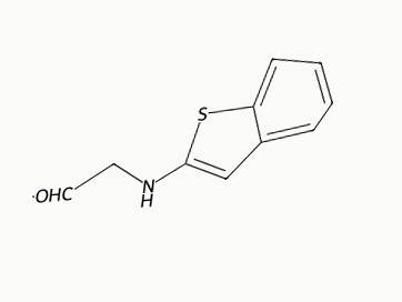 O=[C]CNc1cc2ccccc2s1